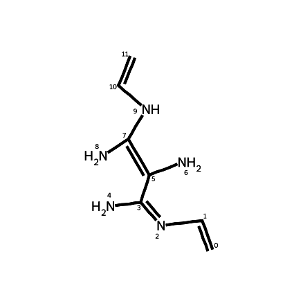 C=C/N=C(N)\C(N)=C(/N)NC=C